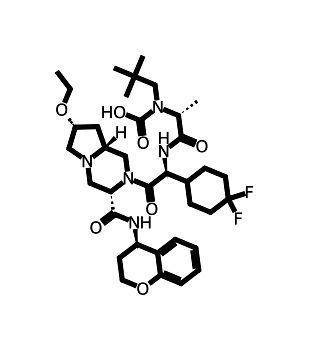 CCO[C@@H]1C[C@@H]2CN(C(=O)[C@@H](NC(=O)[C@@H](C)N(CC(C)(C)C)C(=O)O)C3CCC(F)(F)CC3)[C@H](C(=O)N[C@@H]3CCOc4ccccc43)CN2C1